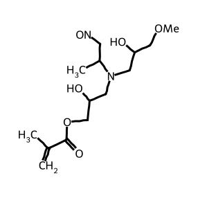 C=C(C)C(=O)OCC(O)CN(CC(O)COC)C(C)CN=O